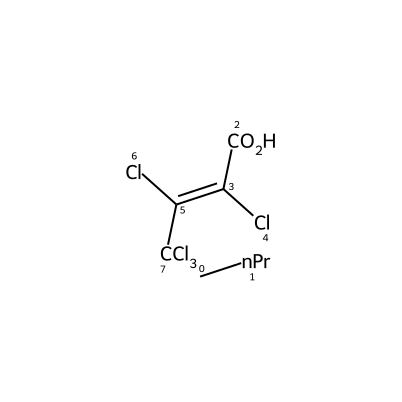 CCCC.O=C(O)C(Cl)=C(Cl)C(Cl)(Cl)Cl